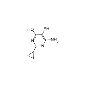 Nc1nc(C2CC2)nc(O)c1S